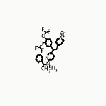 C[C@H](c1ccccc1)N(C)c1ccc(C(Cc2cc[n+]([O-])cc2)c2ccc(OC(F)F)c(OC(F)F)c2)cn1